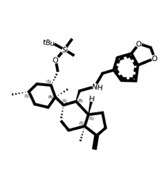 C=C1CC[C@H]2[C@H](CNCc3ccc4c(c3)OCO4)[C@@H]([C@@]3(C)CC[C@H](C)C[C@@H]3CO[Si](C)(C)C(C)(C)C)CC[C@]12C